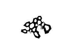 c1ccc(-c2nc3ccccc3nc2-n2c3cccc4c3c3c5c(c(-c6ccccc6)oc5c5ccccc5c32)-c2ccccc2-4)cc1